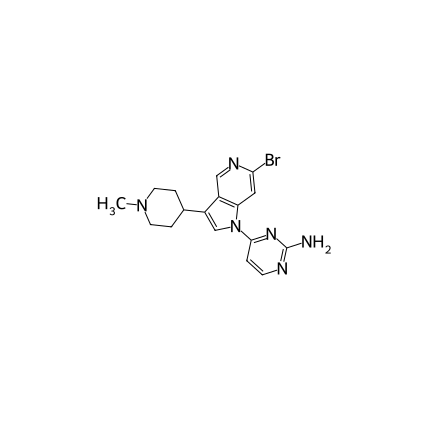 CN1CCC(c2cn(-c3ccnc(N)n3)c3cc(Br)ncc23)CC1